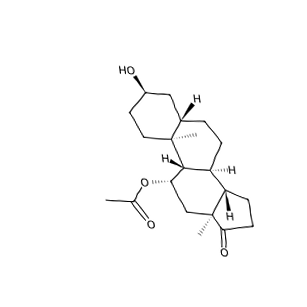 CC(=O)O[C@H]1C[C@]2(C)C(=O)CC[C@H]2[C@@H]2CC[C@H]3C[C@H](O)CC[C@]3(C)[C@H]21